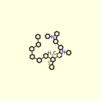 CC1c2c(n(-c3ccccc3)c3ccc(-c4ccc5c(c4)c4ccccc4n5-c4ccccc4)cc23)C=CC1c1cc(-c2cccc(-c3cccc(-c4cccc(-c5cccc(-c6cccc(-c7ccccc7)c6)c5)c4)c3)c2)c2sc3ccccc3c2c1